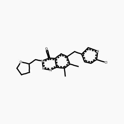 Cc1c(Cc2ccc(Cl)nc2)cc2c(=O)n(CC3CCCO3)nnc2c1C